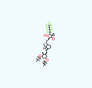 C=C1/C(=C\C=C2/CCC[C@]3(C)[C@@H]([C@H](C)/C=C/C(=O)C4(C(O)C(F)(F)C(F)(F)C(F)(F)C(F)(F)F)CC4)CC[C@@H]23)CC(O[Si](C)(C)C(C)(C)C)CC1O[Si](C)(C)C(C)(C)C